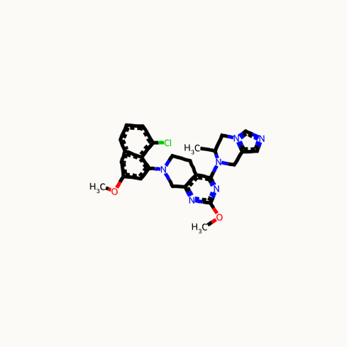 COc1cc(N2CCc3c(nc(OC)nc3N3Cc4cncn4CC3C)C2)c2c(Cl)cccc2c1